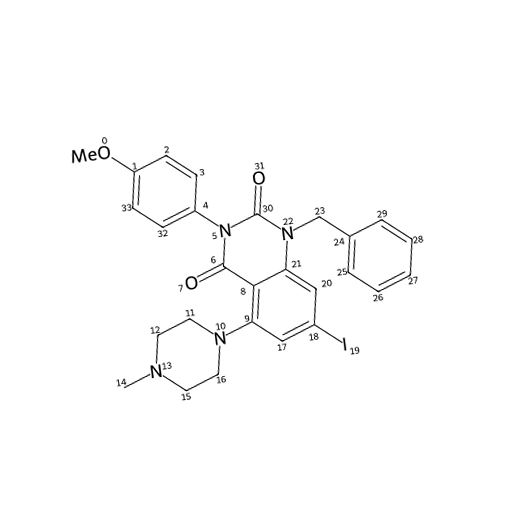 COc1ccc(-n2c(=O)c3c(N4CCN(C)CC4)cc(I)cc3n(Cc3ccccc3)c2=O)cc1